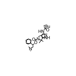 CN(C)CC(OC(=O)N1Cc2c(NC(=O)C(C)(C)C)n[nH]c2C1(C)C)c1ccccc1